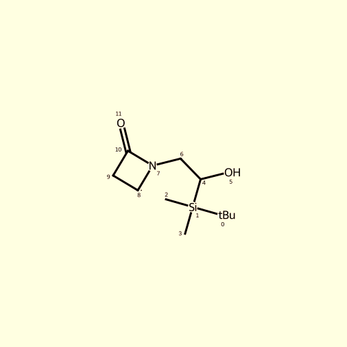 CC(C)(C)[Si](C)(C)C(O)CN1[CH]CC1=O